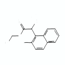 CCOC(=N)C(O)c1c(Cl)ccc2ccccc12.Cl